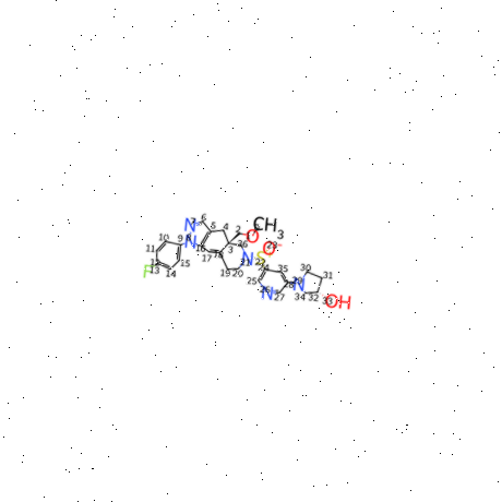 COC[C@]12Cc3cnn(-c4ccc(F)cc4)c3C=C1CCN([S+]([O-])c1cncc(N3CC[C@H](O)C3)c1)C2